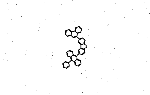 c1ccc(-c2c3ccccc3c(-c3ccc4sc5ccc(-c6cc7ccccc7c7ccccc67)cc5c4c3)c3ccccc23)cc1